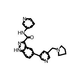 O=C(Nc1cccnc1)c1n[nH]c2ccc(-c3cncc(CN4CCCC4)c3)cc12